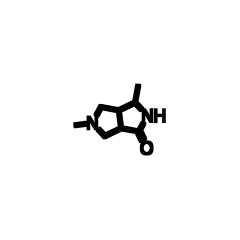 CC1NC(=O)C2CN(C)CC12